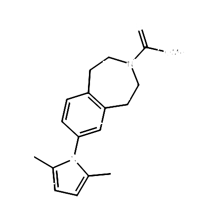 COC(=O)N1CCc2ccc(-n3c(C)ccc3C)cc2CC1